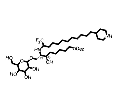 CCCCCCCCCCCCCCC[C@@H](O)[C@H](COC1OC(CO)C(O)C(O)C1O)NC(CCCCCCCCCCC1CCNCC1)C(F)(F)F